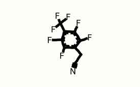 N#CCc1c(F)c(F)c(C(F)(F)F)c(F)c1F